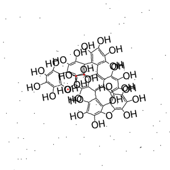 Oc1c(O)c(O)c(-c2c(O)c(O)c(-c3c(O)c(O)c(O)c(O)c3-c3c4c(O)c(O)c(O)c(O)c4c(-c4c(O)c(O)c(O)c5oc6c(O)c(O)c(O)c(O)c6c45)c4c(O)c(O)c(O)c(O)c34)c(O)c2O)c(O)c1O